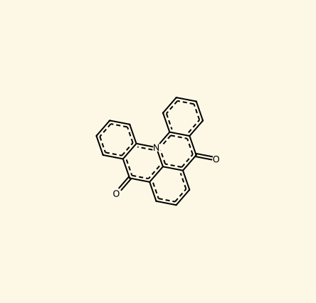 O=c1c2ccccc2n2c3ccccc3c(=O)c3cccc1c32